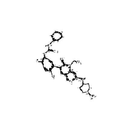 CCn1c(=O)c(-c2cc(NC(=O)Nc3ccccc3)c(F)cc2Cl)cc2cnc(NC3CCN(C)CC3)cc21